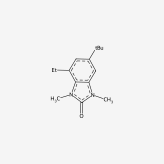 CCc1cc(C(C)(C)C)cc2c1n(C)c(=O)n2C